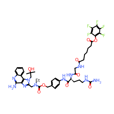 CCN(Cc1nc2c(N)nc3ccccc3c2n1CC(C)(C)O)C(=O)OCc1ccc(NC(=O)[C@H](CCCNC(N)=O)NC(=O)CNC(=O)CCCCCC(=O)Oc2c(F)c(F)c(F)c(F)c2F)cc1